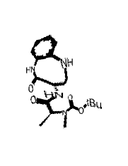 C[C@@H](C(=O)N[C@H]1CNc2ccccc2NC1=O)N(C)C(=O)OC(C)(C)C